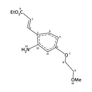 CCOC(=O)/C=C/c1ccc(OCCOC)cc1N